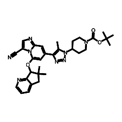 Cc1c(-c2cc(OC3c4ncccc4CC3(C)C)n3c(C#N)cnc3c2)nnn1C1CCN(C(=O)OC(C)(C)C)CC1